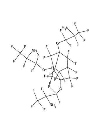 NC(F)(C(F)(F)F)C(F)(F)OC12C(F)(F)C3(F)C(F)(F)C(OC(F)(F)C(N)(F)C(F)(F)F)(C1(F)F)C(F)(F)C(OC(F)(F)C(N)(F)C(F)(F)F)(C3(F)F)C2(F)F